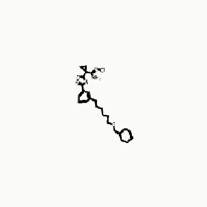 N/C(=N\Cl)C1(c2nc(-c3cccc(CCCCCCOCC4CCCCC4)c3)no2)CC1